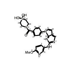 COc1ccc(Nc2ncc3ccn(-c4ccc(C(=O)N5CCS(O)(O)CC5)cc4)c3n2)cn1